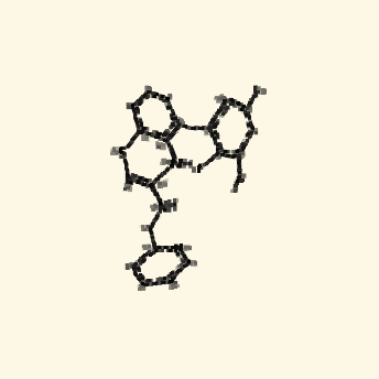 Fc1cc(F)c(F)c(-c2cccc3c2NC(NCc2ccccn2)=NS3)c1